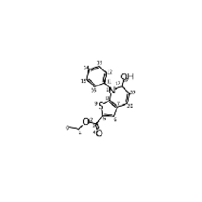 CCOC(=O)c1cc2c(s1)N(c1ccccc1)C(O)C=C2